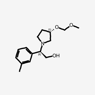 COCO[C@H]1CCN([C@@H](CO)c2cccc(C)c2)C1